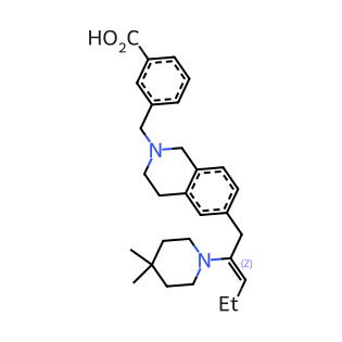 CC/C=C(/Cc1ccc2c(c1)CCN(Cc1cccc(C(=O)O)c1)C2)N1CCC(C)(C)CC1